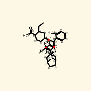 CCC1CC(Cc2cnc(N3C4CCC3CN(c3cc(-c5ccccc5O)nnc3N)C4)nc2)CCC1C(=O)O